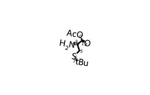 CC(=O)OC(=O)[C@@H](N)CSC(C)(C)C